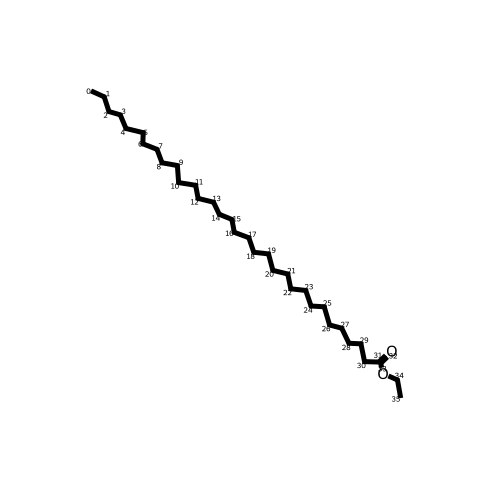 CCCCCCCCCCCCCCCCCCCCCCCCCCCCCCCC(=O)OCC